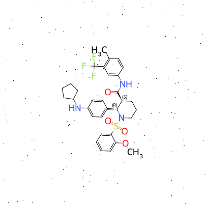 COc1ccccc1S(=O)(=O)N1CCC[C@H](C(=O)Nc2ccc(C)c(C(F)(F)F)c2)[C@@H]1c1ccc(NC2CCCC2)cc1